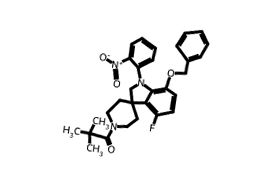 CC(C)(C)C(=O)N1CCC2(CC1)CN(c1ccccc1[N+](=O)[O-])c1c(OCc3ccccc3)ccc(F)c12